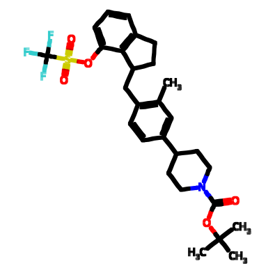 Cc1cc(C2CCN(C(=O)OC(C)(C)C)CC2)ccc1CC1CCc2cccc(OS(=O)(=O)C(F)(F)F)c21